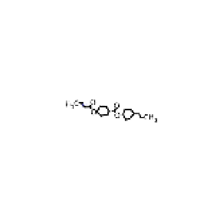 C/C=C/C(=O)O[C@H]1CC[C@H](C(=O)O[C@H]2CC[C@H](CCC)CC2)CC1